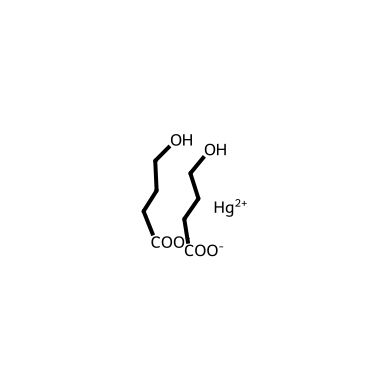 O=C([O-])CCCO.O=C([O-])CCCO.[Hg+2]